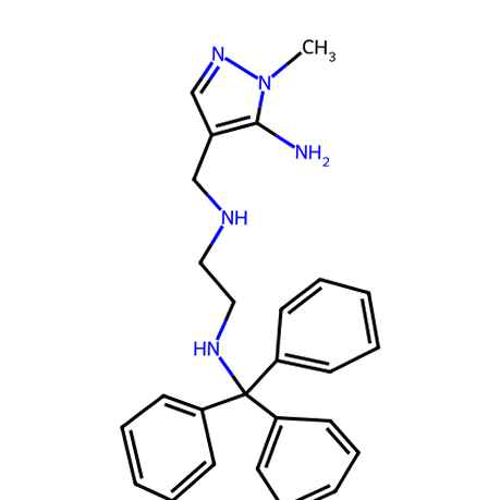 Cn1ncc(CNCCNC(c2ccccc2)(c2ccccc2)c2ccccc2)c1N